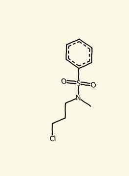 CN(CCCCl)S(=O)(=O)c1ccccc1